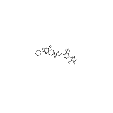 CN(C)C(=O)Nc1ccc(/C=C/S(=O)(=O)N2CCC3(CC2)N=C(C2CCCCC2)NC3=O)c(C(F)(F)F)c1